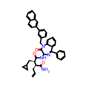 C=CC[C@H](C(N)=O)[C@@H](CC1CC1)C(=O)NC1N=C(c2ccccc2)c2ccccc2N(Cc2cccc(-c3ccc4ccccc4c3)c2)C1=O